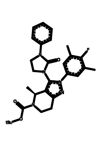 Cc1cc(-n2nc3c(c2N2CCN(c4ccccc4)C2=O)[C@H](C)N(C(=O)OC(C)(C)C)CC3)cc(C)c1F